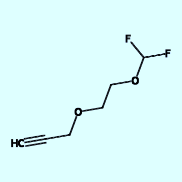 C#CCOCCOC(F)F